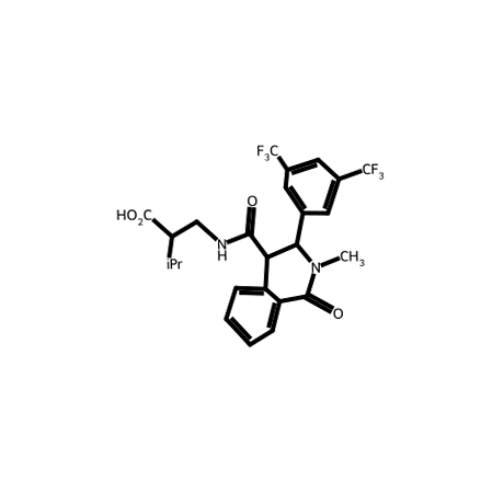 CC(C)C(CNC(=O)C1c2ccccc2C(=O)N(C)C1c1cc(C(F)(F)F)cc(C(F)(F)F)c1)C(=O)O